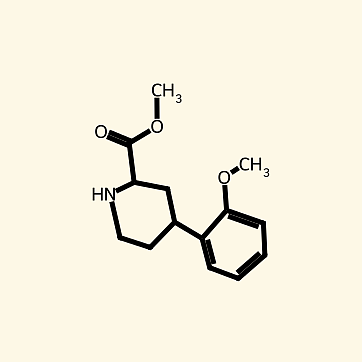 COC(=O)C1CC(c2ccccc2OC)CCN1